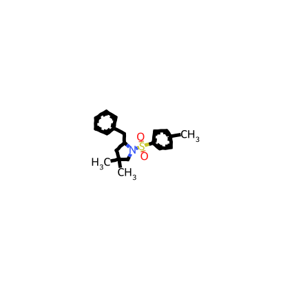 Cc1ccc(S(=O)(=O)N2CC(C)(C)CC2Cc2ccccc2)cc1